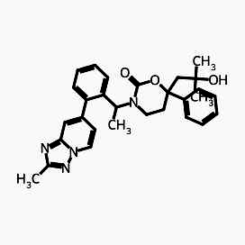 Cc1nc2cc(-c3ccccc3C(C)N3CCC(CC(C)(C)O)(c4ccccc4)OC3=O)ccn2n1